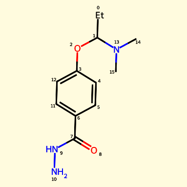 CCC(Oc1ccc(C(=O)NN)cc1)N(C)C